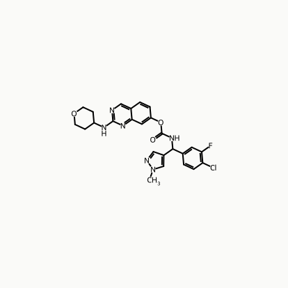 Cn1cc(C(NC(=O)Oc2ccc3cnc(NC4CCOCC4)nc3c2)c2ccc(Cl)c(F)c2)cn1